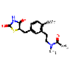 BC(=O)N(C)CCc1cc(CC2SC(=O)NC2=O)ccc1OC